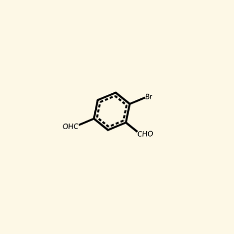 O=Cc1ccc(Br)c(C=O)c1